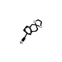 N#Cc1ccc2c(c1)CCC1(C2)OCCO1